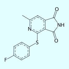 Cc1cc2c(c(Sc3ccc(F)cc3)n1)C(=O)NC2=O